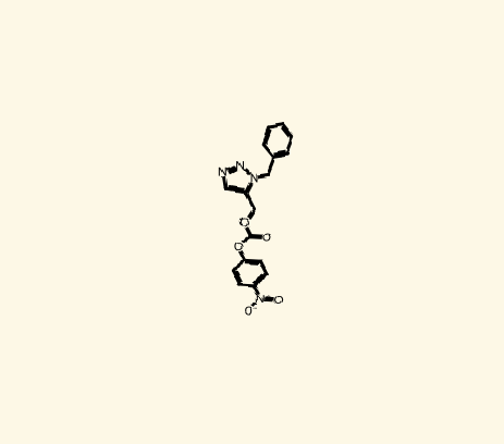 O=C(OCc1cnnn1Cc1ccccc1)Oc1ccc([N+](=O)[O-])cc1